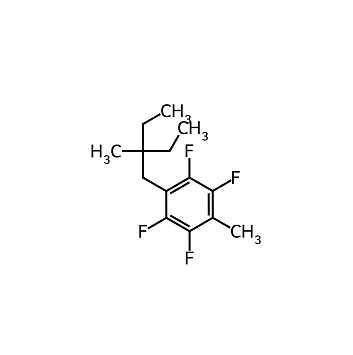 CCC(C)(CC)Cc1c(F)c(F)c(C)c(F)c1F